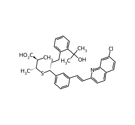 C[C@H](C(=O)O)[C@@H](C)S[C@H](CCc1ccccc1C(C)(C)O)c1cccc(C=Cc2ccc3ccc(Cl)cc3n2)c1